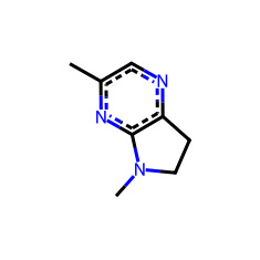 Cc1cnc2c(n1)N(C)CC2